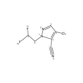 N#Cc1c(Cl)[c]nn1CC(F)F